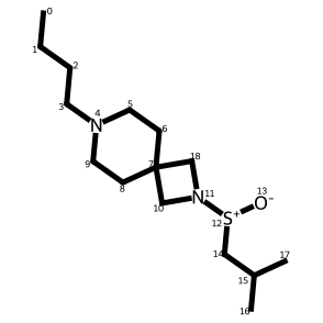 CCCCN1CCC2(CC1)CN([S+]([O-])CC(C)C)C2